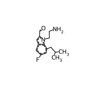 CC(C)Cc1cc(F)cc2cc(C=O)n(CCN)c12